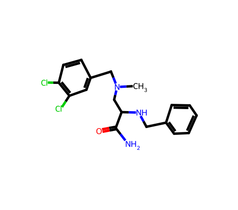 CN(Cc1ccc(Cl)c(Cl)c1)CC(NCc1ccccc1)C(N)=O